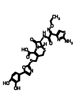 CCON=C(C(=O)N[C@@H]1C(=O)N2C(C(=O)O)=C(CSc3ncc(-c4ccc(O)c(O)c4)o3)CS[C@@H]12)c1csc(N)n1